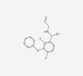 C=CCNC(CC)c1ccc(F)c(Oc2ccccc2)c1F